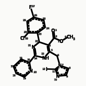 COC(=O)C1=C(Cn2ccnc2I)NC(c2ccccn2)=NC1c1ccc(F)cc1Cl